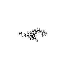 COc1ccc(C2CCN(C(=O)OCc3ccccc3)CC2)c([S+](C)[O-])c1